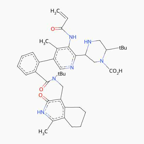 C=CC(=O)Nc1c(C2CN(C(=O)O)C(C(C)(C)C)CN2)ncc(-c2ccccc2C(=O)N(Cc2c3c(c(C)[nH]c2=O)CCCC3)C(C)(C)C)c1C